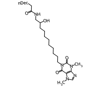 CCCCCCCCCCCC(=O)NCC(O)CCCCCCCCCn1c(=O)c2c(ncn2C)n(C)c1=O